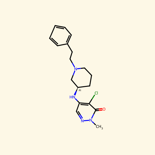 Cn1ncc(N[C@@H]2CCCN(CCc3ccccc3)C2)c(Cl)c1=O